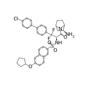 N[C@H]1CC2CCC1N2C(=O)[C@@H](NS(=O)(=O)c1ccc2cc(OC3CCCC3)ccc2c1)C(F)(F)c1ccc(-c2ccc(Cl)cc2)cc1